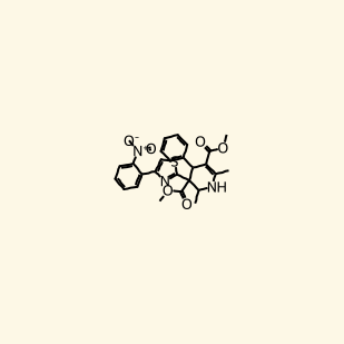 COC(=O)C1=C(C)NC(C)C(C(=O)OC)(c2nc(-c3ccccc3[N+](=O)[O-])cs2)C1c1ccccc1